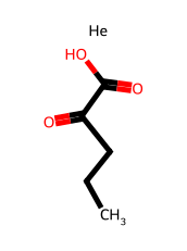 CCCC(=O)C(=O)O.[He]